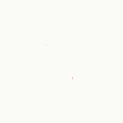 CCC(C)C[C@H](C)C[Si](C)(C)O